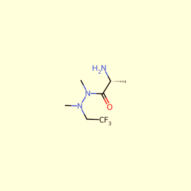 C[C@@H](N)C(=O)N(C)N(C)CC(F)(F)F